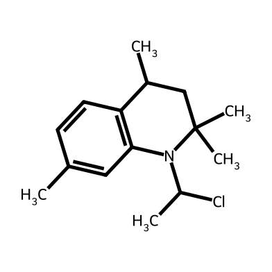 Cc1ccc2c(c1)N(C(C)Cl)C(C)(C)CC2C